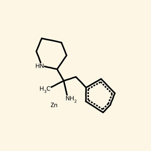 CC(N)(Cc1ccccc1)C1CCCCN1.[Zn]